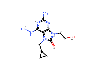 NNc1nc(N)nc2c1n(CC1CC1)c(=O)n2CCO